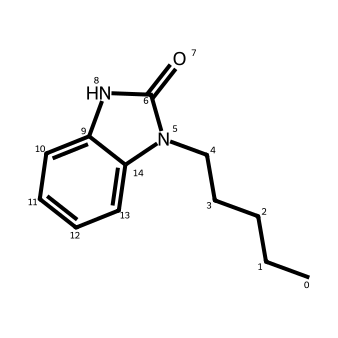 CCCCCn1c(=O)[nH]c2ccccc21